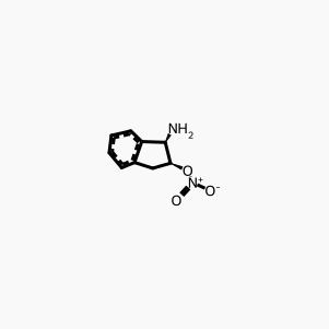 N[C@@H]1c2ccccc2C[C@@H]1O[N+](=O)[O-]